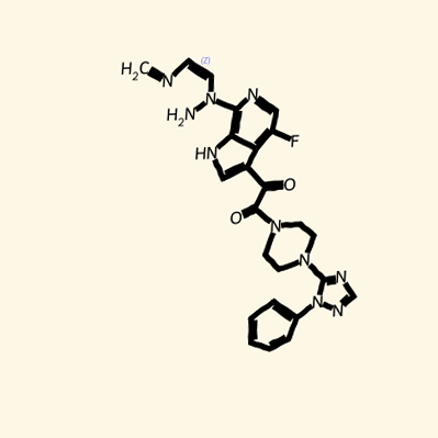 C=N/C=C\N(N)c1ncc(F)c2c(C(=O)C(=O)N3CCN(c4ncnn4-c4ccccc4)CC3)c[nH]c12